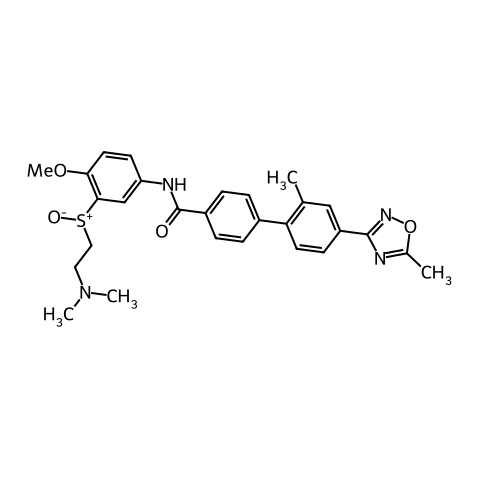 COc1ccc(NC(=O)c2ccc(-c3ccc(-c4noc(C)n4)cc3C)cc2)cc1[S+]([O-])CCN(C)C